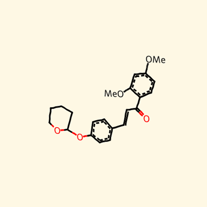 COc1ccc(C(=O)C=Cc2ccc(OC3CCCCO3)cc2)c(OC)c1